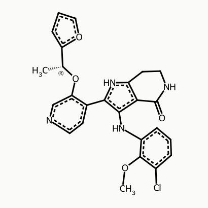 COc1c(Cl)cccc1Nc1c(-c2ccncc2O[C@H](C)c2ccco2)[nH]c2c1C(=O)NCC2